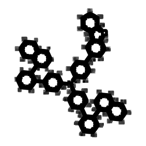 c1ccc(-c2cccc3ccccc23)c(-c2ccc(N(c3ccc(-c4ccc5oc6ccccc6c5c4)cc3)c3ccc(-c4ccccc4-c4cccc5ccccc45)cc3)cc2)c1